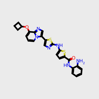 Nc1ccccc1NC(=O)c1ccc(Nc2ncc(-c3cnc4c(OC5CCC5)cccn34)s2)s1